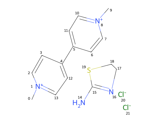 C[n+]1ccc(-c2cc[n+](C)cc2)cc1.NC1=NCCS1.[Cl-].[Cl-]